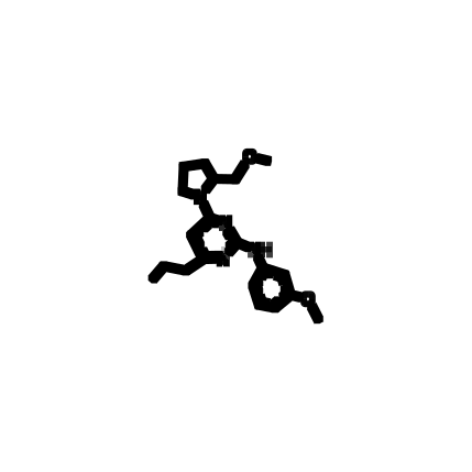 CCCc1cc(N2CCCC2COC)nc(Nc2cccc(OC)c2)n1